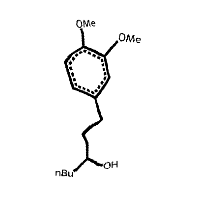 [CH2]CCCC(O)CCc1ccc(OC)c(OC)c1